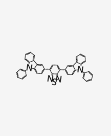 c1ccc(-n2c3ccccc3c3cc(-c4ccc(-c5ccc6c(c5)c5ccccc5n6-c5ccccc5)c5nsnc45)ccc32)cc1